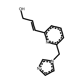 OC/C=C/c1cccc(Cn2ccnc2)n1